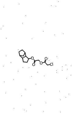 O=C(CCl)OCC(=O)OC1CCC2C3CCC(C3)C12